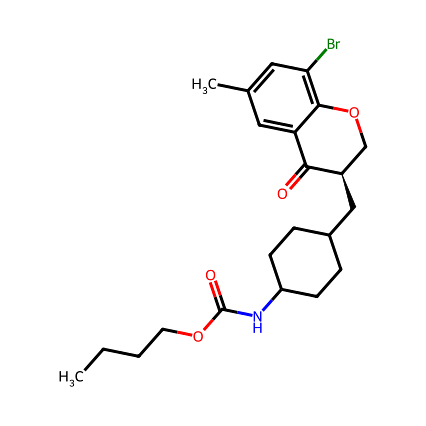 CCCCOC(=O)NC1CCC(C[C@@H]2COc3c(Br)cc(C)cc3C2=O)CC1